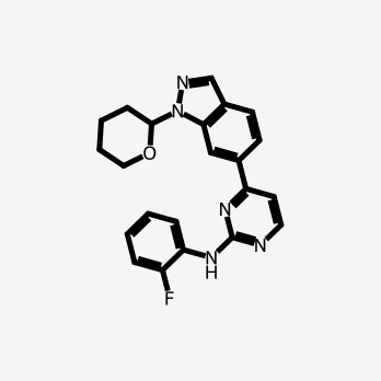 Fc1ccccc1Nc1nccc(-c2ccc3cnn(C4CCCCO4)c3c2)n1